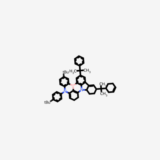 CC(C)(C)c1ccc(N2C3=CCCC4=C3B(c3cc(C(C)(C)C)ccc32)c2cc(C(C)(C)c3ccccc3)cc3c2N4C2CCC(C(C)(C)C4CC=CCC4)C=C32)cc1